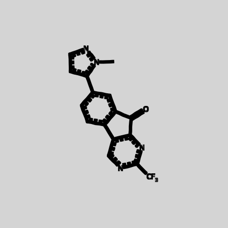 Cn1nccc1-c1ccc2c(c1)C(=O)c1nc(C(F)(F)F)ncc1-2